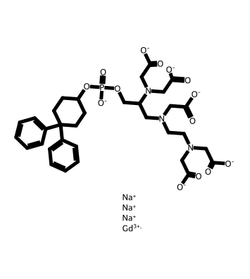 O=C([O-])CN(CCN(CC(=O)[O-])CC(COP(=O)([O-])OC1CCC(c2ccccc2)(c2ccccc2)CC1)N(CC(=O)[O-])CC(=O)[O-])CC(=O)[O-].[Gd+3].[Na+].[Na+].[Na+]